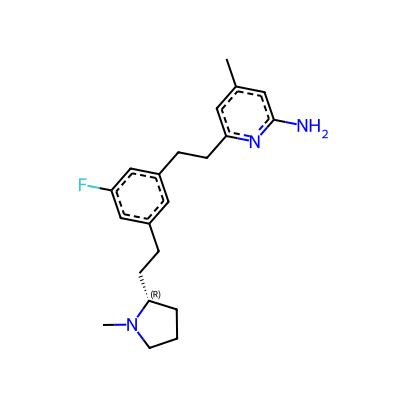 Cc1cc(N)nc(CCc2cc(F)cc(CC[C@@H]3CCCN3C)c2)c1